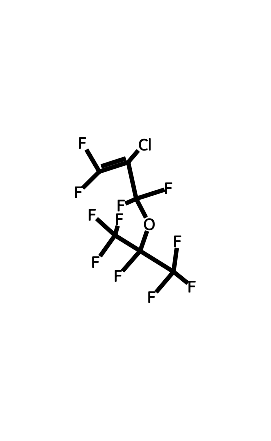 FC(F)=C(Cl)C(F)(F)OC(F)(C(F)(F)F)C(F)(F)F